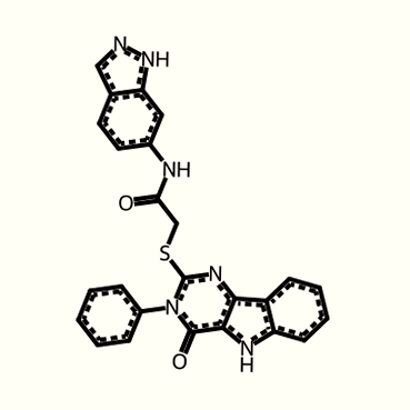 O=C(CSc1nc2c([nH]c3ccccc32)c(=O)n1-c1ccccc1)Nc1ccc2cn[nH]c2c1